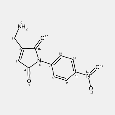 NCC1=CC(=O)N(c2ccc([N+](=O)[O-])cc2)C1=O